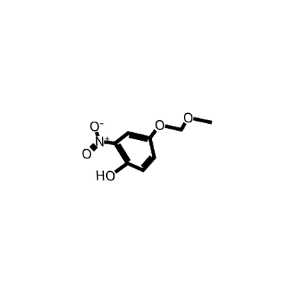 COCOc1ccc(O)c([N+](=O)[O-])c1